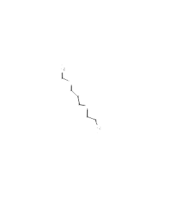 NCCOCCCOCN